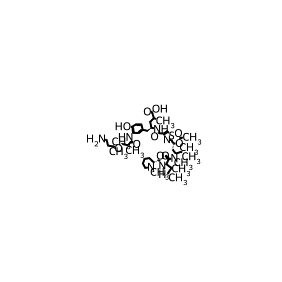 CC[C@H](C)[C@@H](NC(=O)[C@H]1CCCCN1C)C(=O)N(C)C(C[C@@H](OC(C)=O)c1nc(C(=O)N[C@@H](Cc2ccc(O)c(NC(=O)C(C)COC(C)(C)CCN)c2)CC(C)C(=O)O)cs1)C(C)C